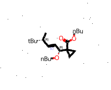 CCCCOC(=O)C1([C@@H](/C=C/[C@@H](C)C(C)(C)C)OCCCC)CC1